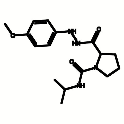 COc1ccc(NNC(=O)C2CCCN2C(=O)NC(C)C)cc1